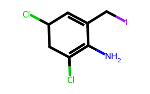 NC1=C(Cl)CC(Cl)C=C1CI